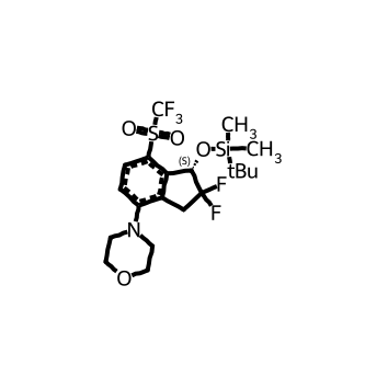 CC(C)(C)[Si](C)(C)O[C@H]1c2c(S(=O)(=O)C(F)(F)F)ccc(N3CCOCC3)c2CC1(F)F